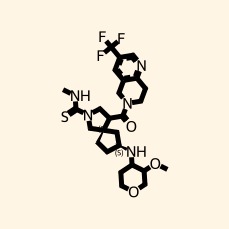 CNC(=S)N1CC(C(=O)N2CCc3ncc(C(F)(F)F)cc3C2)[C@@]2(CC[C@H](NC3CCOCC3OC)C2)C1